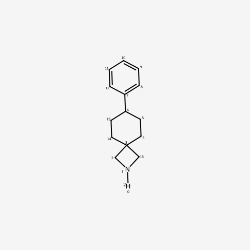 [2H]N1CC2(CCC(c3ccccc3)CC2)C1